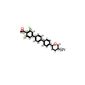 CCCC1CCC(c2ccc(-c3ccc(-c4cc(F)c(C5CO5)c(F)c4)cc3)cc2)OC1